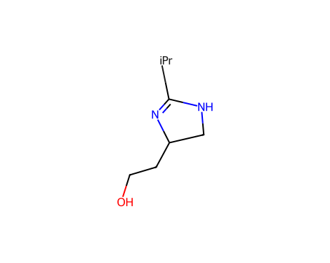 CC(C)C1=NC(CCO)CN1